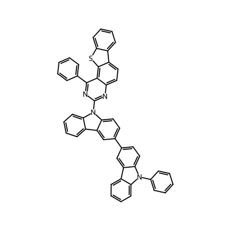 c1ccc(-c2nc(-n3c4ccccc4c4cc(-c5ccc6c(c5)c5ccccc5n6-c5ccccc5)ccc43)nc3ccc4c5ccccc5sc4c23)cc1